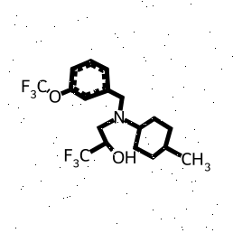 CC1CCC(N(Cc2cccc(OC(F)(F)F)c2)CC(O)C(F)(F)F)CC1